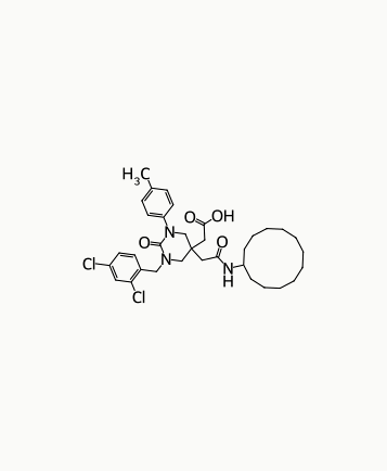 Cc1ccc(N2CC(CC(=O)O)(CC(=O)NC3CCCCCCCCCCC3)CN(Cc3ccc(Cl)cc3Cl)C2=O)cc1